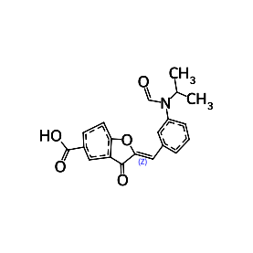 CC(C)N(C=O)c1cccc(/C=C2\Oc3ccc(C(=O)O)cc3C2=O)c1